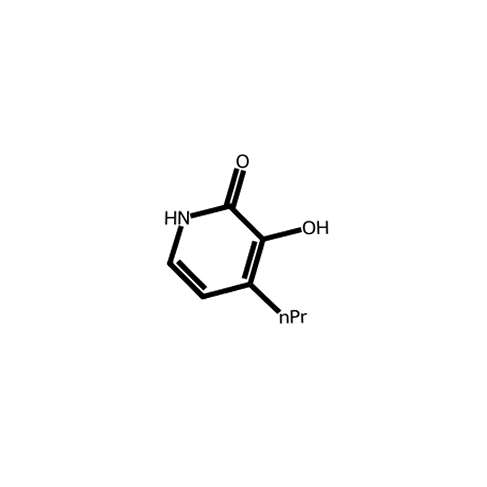 CCCc1cc[nH]c(=O)c1O